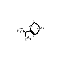 CC(C)C1=CCNCCS1